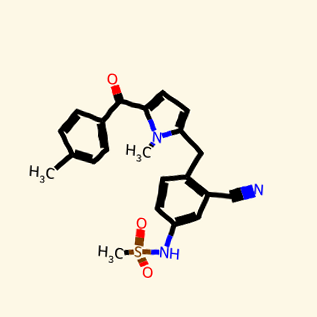 Cc1ccc(C(=O)c2ccc(Cc3ccc(NS(C)(=O)=O)cc3C#N)n2C)cc1